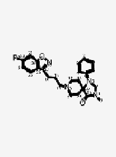 CN1CN(c2ccccc2)C2(CCN(CCCc3noc4cc(F)ccc34)CC2)C1=O